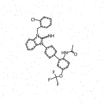 CC(=O)Nc1ccc(OC(F)(F)F)cc1-c1ccc(-n2c(=N)n(Cc3ccccc3Cl)c3ccccc32)cc1